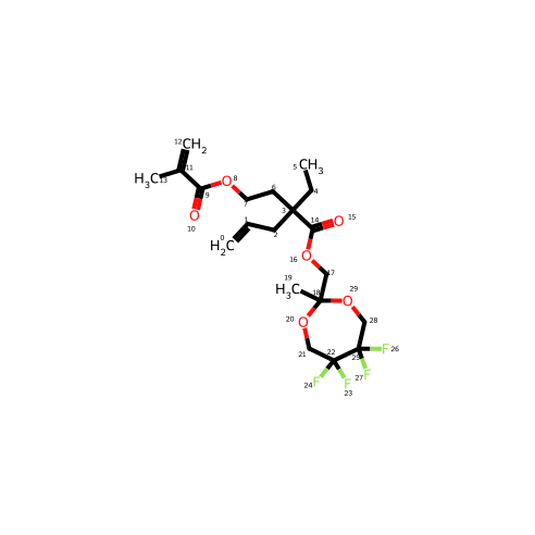 C=CCC(CC)(CCOC(=O)C(=C)C)C(=O)OCC1(C)OCC(F)(F)C(F)(F)CO1